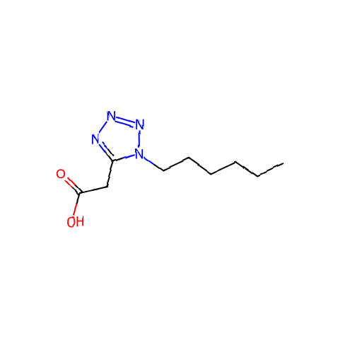 CCCCCCn1nnnc1CC(=O)O